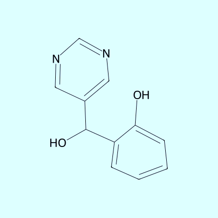 Oc1ccccc1C(O)c1cncnc1